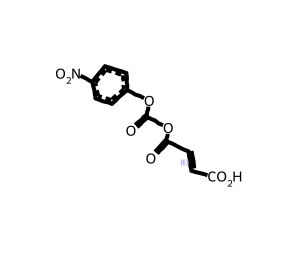 O=C(O)/C=C/C(=O)OC(=O)Oc1ccc([N+](=O)[O-])cc1